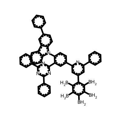 Bc1c(B)c(B)c(-c2cc(-c3ccccc3)nc(-c3ccc(-n4c5ccccc5c5cc(-c6ccccc6)ccc54)c(-c4nc(-c5ccccc5)nc(-c5ccccc5)n4)c3)c2)c(B)c1B